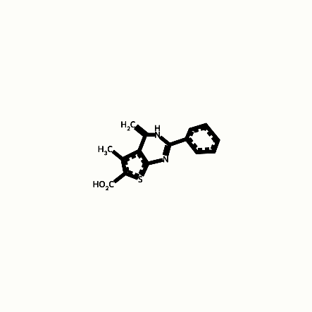 C=C1NC(c2ccccc2)=Nc2sc(C(=O)O)c(C)c21